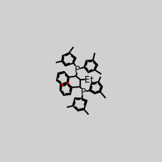 CCC(C(c1ccccc1)P(c1cc(C)cc(C)c1)c1cc(C)cc(C)c1)C(c1ccccc1)P(c1cc(C)cc(C)c1)c1cc(C)cc(C)c1